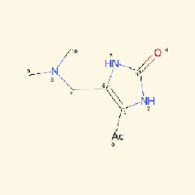 CC(=O)c1[nH]c(=O)[nH]c1CN(C)C